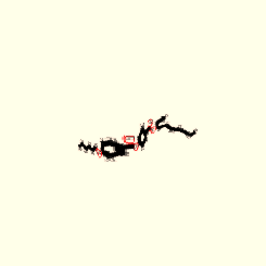 C/C=C/C(CCCCCC)OC(=O)c1ccc(OC(=O)c2ccc(OCCCCCC)cc2)cc1